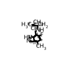 C=C(NCc1c(F)cc(C)c2cn[nH]c12)C(C)(C)C